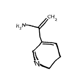 C=C(N)C1=CCCN=C1